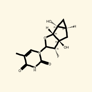 Cc1cn(C2O[C@@H]3[C@@]4(O)C[C@H]4C[C@]3(O)[C@@H]2F)c(=O)[nH]c1=O